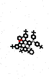 CC(C)(C)c1ccc(N(c2ccc(C(C)(C)C)cc2)c2cc3c4c(c2)N2c5c(cc(C(C)(C)C)c6c5B4c4c(ccc5c4C6(C)c4ccc(C(C)(C)C)cc4-5)C3c3ccc(C(C)(C)C)cc3-c3ccccc3)C3(C)CCCCC23C)cc1